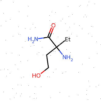 CCC(N)(CCO)C(N)=O